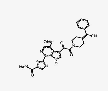 CNC(=O)c1cnc(-c2ncc(OC)c3c(C(=O)C(=O)N4CCC(=C(C#N)c5ccccc5)CC4)c[nH]c23)s1